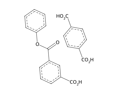 O=C(O)c1ccc(C(=O)O)cc1.O=C(O)c1cccc(C(=O)Oc2ccccc2)c1